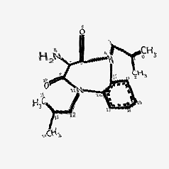 CC(C)CN1C(=O)C(N)C(=O)N(CC(C)C)c2ccccc21